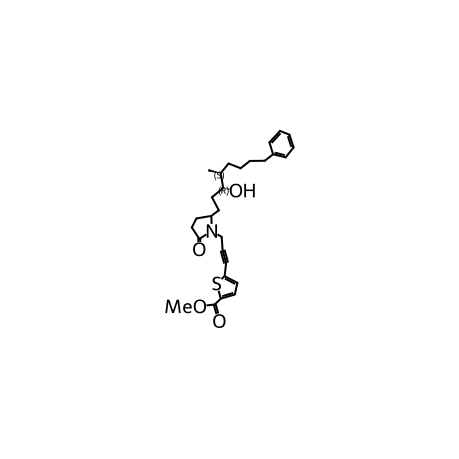 COC(=O)c1ccc(C#CCN2C(=O)CCC2CC[C@@H](O)[C@@H](C)CCCCc2ccccc2)s1